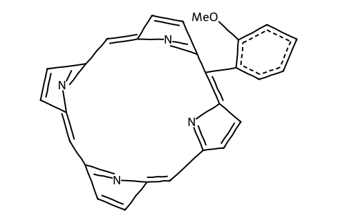 COc1ccccc1C1=C2C=CC(=N2)C=C2C=CC(=N2)C=C2C=CC(=N2)C=C2C=CC1=N2